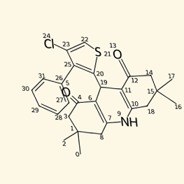 CC1(C)CC(=O)C2=C(C1)NC1=C(C(=O)CC(C)(C)C1)C2c1scc(Cl)c1-c1ccccc1